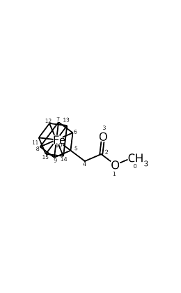 COC(=O)C[C]12[CH]3[CH]4[CH]5[CH]1[Fe]45321678[CH]2[CH]1[CH]6[CH]7[CH]28